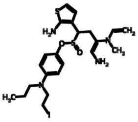 C=CN(C)/C(=C\N)CC(c1ccsc1N)S(=O)Oc1ccc(N(CCC)CCI)cc1